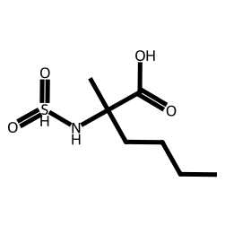 CCCCC(C)(N[SH](=O)=O)C(=O)O